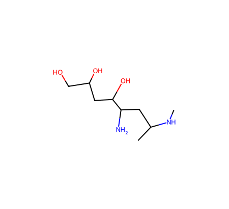 CNC(C)CC(N)C(O)CC(O)CO